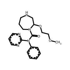 COCCOC1CNCCCN1C(=O)N(c1ccccc1)c1ncccn1